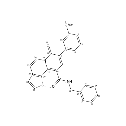 COc1cccc(-c2cc(C(=O)NCc3ccccc3)c3c4sccc4ccn3c2=O)c1